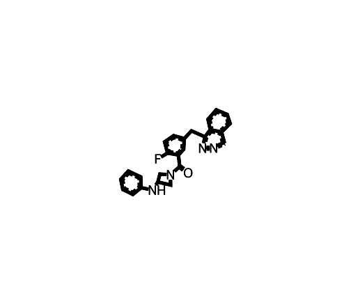 O=C(c1cc(Cc2nncc3ccccc23)ccc1F)N1CC(Nc2ccccc2)C1